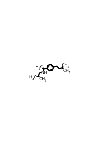 C=C(C)CCc1ccc(C(=C)NCC(C)C)cc1